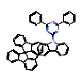 c1ccc(-c2nc(-c3ccccc3)nc(-n3c4ccccc4c4cc(-c5cccc6c5C5(c7ccccc7-c7ccccc75)c5ccccc5-6)ccc43)n2)cc1